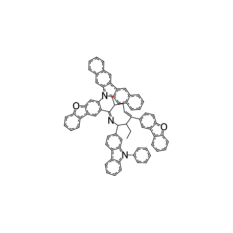 CCC1/C(c2ccc3oc4ccccc4c3c2)=C/CC(C)/C(c2cc3c(cc2-n2c4cc5ccccc5cc4c4cc5ccccc5cc42)oc2ccccc23)=N\C1c1ccc2c3ccccc3n(-c3ccccc3)c2c1